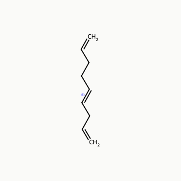 C=CC/C=C/CCC=C